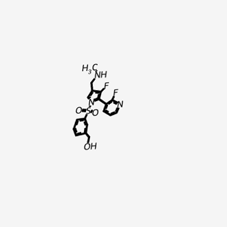 CNCc1cn(S(=O)(=O)c2cccc(CO)c2)c(-c2cccnc2F)c1F